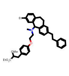 CCOC(=O)C(Cc1ccc(OCCN(C)C2c3ccc(CCc4ccccc4)cc3CCc3ccc(CC)cc32)cc1)OC